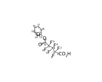 O=C(O)C(F)(F)C(F)(F)C(F)(F)C(=O)Oc1cc2ccc1o2